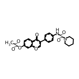 CS(=O)(=O)Oc1ccc2c(=O)c(-c3ccc(NS(=O)(=O)N4CCCCC4)cc3)coc2c1